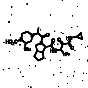 CCCC(NC(=O)C1C2CCCC2CN1C(=O)C(C)N1CCN(C(=O)O)C(C(C)(C)C)C1)C(=O)C(=O)NC1CC1